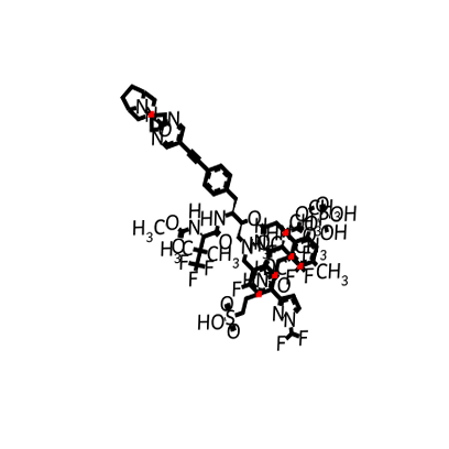 COC(=O)N[C@H](C(=O)N[C@@H](Cc1ccc(C#Cc2cnc(N3CC4CCC(C3)N4C3COC3)nc2)cc1)[C@H](CN(Cc1c(F)cc(-c2ccn(C(F)F)n2)cc1F)NC(=O)[C@@H](NC(=O)OC)C(C)(C)C(F)(F)F)OC(=O)CC(C)(C)c1c(CC(=O)NCCCS(=O)(=O)O)cc(C)cc1OP(=O)(O)O)C(C)(C)C(F)(F)F